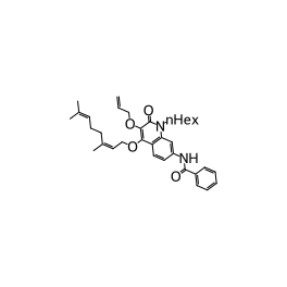 C=CCOc1c(OCC=C(C)CCC=C(C)C)c2ccc(NC(=O)c3ccccc3)cc2n(CCCCCC)c1=O